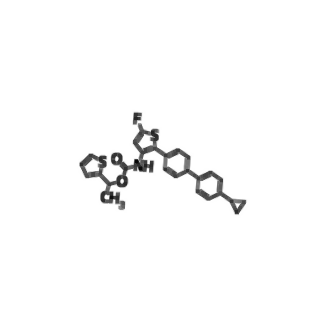 CC(OC(=O)Nc1cc(F)sc1-c1ccc(-c2ccc(C3CC3)cc2)cc1)c1cccs1